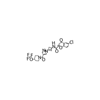 O=C1C[C@H](C(=O)NC23CC(n4cc(C(=O)N5CCC(OC(F)(F)F)CC5)cn4)(C2)C3)Oc2ccc(Cl)cc21